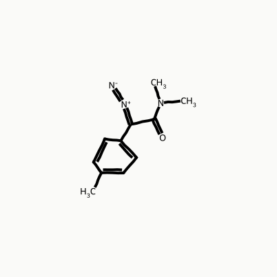 Cc1ccc(C(=[N+]=[N-])C(=O)N(C)C)cc1